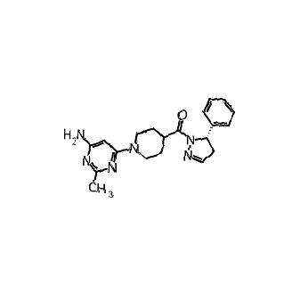 Cc1nc(N)cc(N2CCC(C(=O)N3N=CC[C@H]3c3ccccc3)CC2)n1